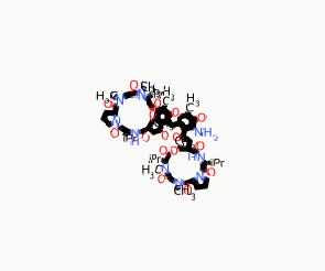 Cc1c2oc3c(C)ccc(C(=O)CC4C(=O)NC(C(C)C)C(=O)N5CCCC5C(=O)N(C)CC(=O)N(C)C(C(C)C)C(=O)OC4C)c3cc-2c(C(=O)CC2C(=O)NC(C(C)C)C(=O)N3CCCC3C(=O)N(C)CC(=O)N(C)C(C(C)C)C(=O)OC2C)c(N)c1=O